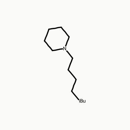 CCC(C)CCCCN1CCCCC1